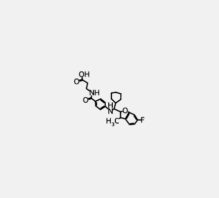 CC1c2ccc(F)cc2OC1C(Nc1ccc(C(=O)NCCC(=O)O)cc1)C1CCCCC1